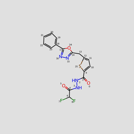 O=C(NNC(=O)C(F)F)c1ccc(Cc2nnc(-c3ccccc3)o2)s1